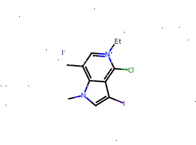 CC[n+]1cc(C)c2c(c(I)cn2C)c1Cl.[I-]